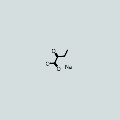 CCC(=O)C(=O)[O-].[Na+]